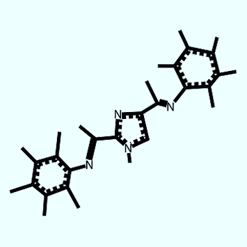 C/C(=N\c1c(C)c(C)c(C)c(C)c1C)c1cn(C)c(/C(C)=N/c2c(C)c(C)c(C)c(C)c2C)n1